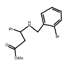 COC(=O)CC(NCc1ccccc1Br)C(C)C